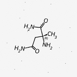 C[C@@](N)(CC(N)=O)C(N)=O